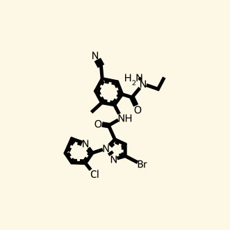 CCN(N)C(=O)c1cc(C#N)cc(C)c1NC(=O)c1cc(Br)nn1-c1ncccc1Cl